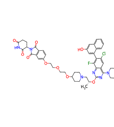 C[C@H](CN1CCC(OCCOCCOc2ccc3c(c2)C(=O)N(C2CCC(=O)NC2=O)C3=O)CC1)Oc1nc(N2CCNCC2)c2cc(Cl)c(-c3cc(O)cc4ccccc34)c(F)c2n1